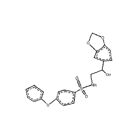 O=S(=O)(NCC(O)c1ccc2c(c1)OCO2)c1ccc(Oc2ccccc2)cc1